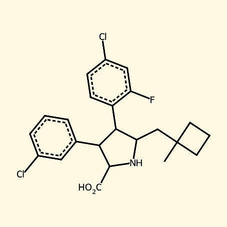 CC1(CC2NC(C(=O)O)C(c3cccc(Cl)c3)C2c2ccc(Cl)cc2F)CCC1